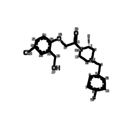 C[C@@H]1CN(Cc2ccc(F)cc2)CCN1C(=O)COc1ccc(Cl)cc1CO